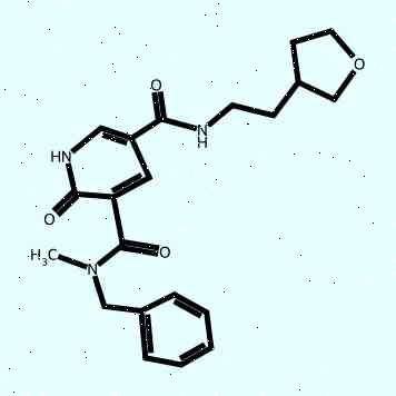 CN(Cc1ccccc1)C(=O)c1cc(C(=O)NCCC2CCOC2)c[nH]c1=O